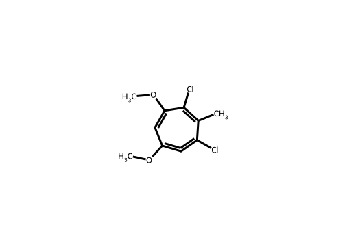 COC1=C=C(Cl)C(C)=C(Cl)C(OC)=C1